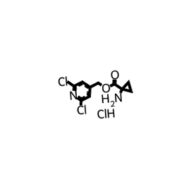 Cl.NC1(C(=O)OCc2cc(Cl)nc(Cl)c2)CC1